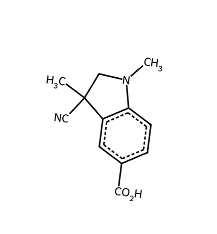 CN1CC(C)(C#N)c2cc(C(=O)O)ccc21